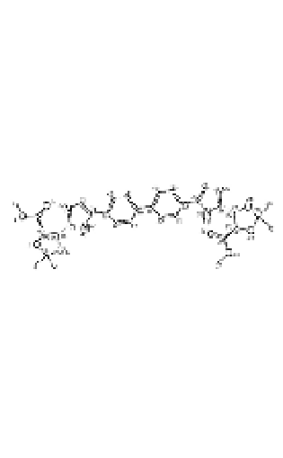 COC(=O)[C@@H]1OC(C)(C)O[C@H]1c1ncc(-c2ccc(-c3ccc(-c4cnc([C@@H]5OC(C)(C)O[C@H]5C(=O)OC)[nH]4)cc3)cc2)[nH]1